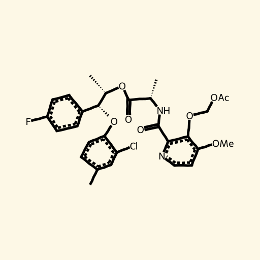 COc1ccnc(C(=O)N[C@@H](C)C(=O)O[C@@H](C)[C@H](Oc2ccc(C)cc2Cl)c2ccc(F)cc2)c1OCOC(C)=O